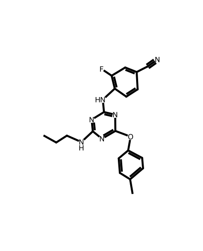 CCCNc1nc(Nc2ccc(C#N)cc2F)nc(Oc2ccc(C)cc2)n1